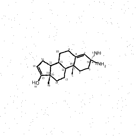 C[C@]12CC[C@]([NH])(N)C=C1CCC1C2CC[C@]2(C)C(O)=CCC12